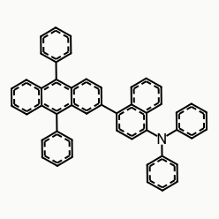 c1ccc(-c2c3ccccc3c(-c3ccccc3)c3cc(-c4ccc(N(c5ccccc5)c5ccccc5)c5ccccc45)ccc23)cc1